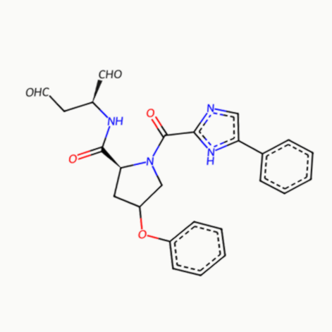 O=CC[C@@H](C=O)NC(=O)[C@@H]1CC(Oc2ccccc2)CN1C(=O)c1ncc(-c2ccccc2)[nH]1